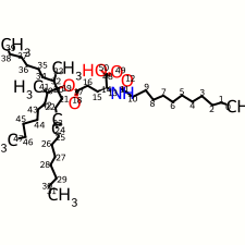 CCCCCCCCCCCC(=O)N[C@@H](CCC(=O)OC(CCCCCCCCCCC)(C(C)CCCCCC)C(C)CCCCCC)C(=O)O